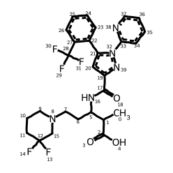 CC(C(=O)O)C(CCN1CCCC(F)(F)C1)NC(=O)c1cc(-c2ccccc2C(F)(F)F)n(-c2ccccn2)n1